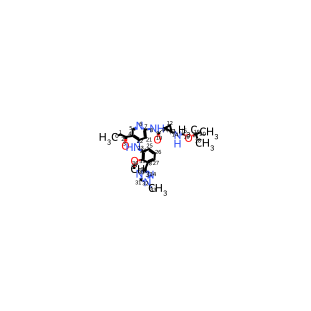 CCC(=O)c1cnc(NC(=O)[C@@H]2C[C@@H]2NCOC(C)(C)C)cc1Nc1cccc(-c2ncn(C)n2)c1OC